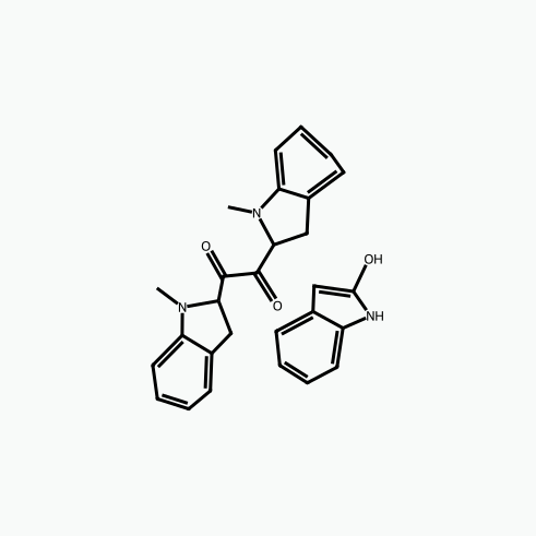 CN1c2ccccc2CC1C(=O)C(=O)C1Cc2ccccc2N1C.Oc1cc2ccccc2[nH]1